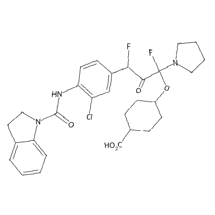 O=C(O)C1CCC(OC(F)(C(=O)C(F)c2ccc(NC(=O)N3CCc4ccccc43)c(Cl)c2)N2CCCC2)CC1